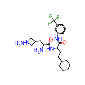 NC(CC1CN(N)C1)C(=O)NC(CCC1CCCCC1)C(=O)Nc1cccc(C(F)(F)F)c1